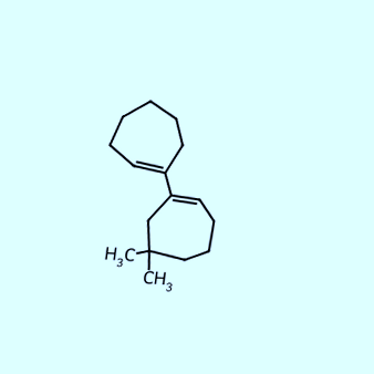 CC1(C)CCCC=C(C2=CCCCCC2)C1